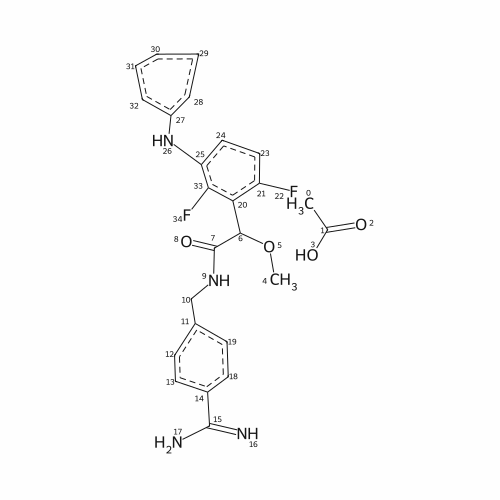 CC(=O)O.COC(C(=O)NCc1ccc(C(=N)N)cc1)c1c(F)ccc(Nc2ccccc2)c1F